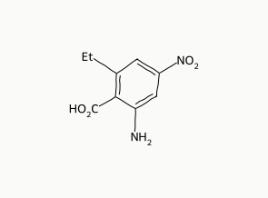 CCc1cc([N+](=O)[O-])cc(N)c1C(=O)O